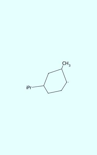 CC1[CH]CCC(C(C)C)C1